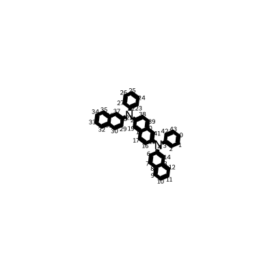 c1ccc(N(c2ccc3ccccc3c2)c2ccc3cc(N(c4ccccc4)c4ccc5ccccc5c4)ccc3c2)cc1